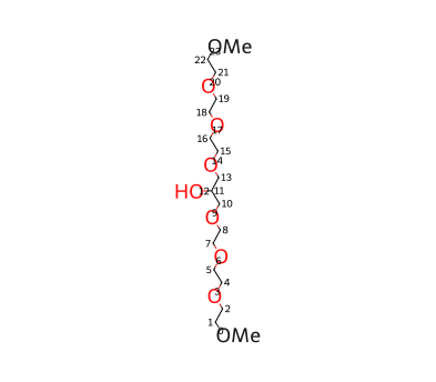 COCCOCCOCCOCC(O)COCCOCCOCCOC